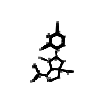 CO[C@]1(CO)O[C@@H](n2ccc(=O)[nH]c2=O)[C@@H](F)C1O[PH](=O)O